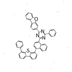 c1ccc(-c2nc(-c3ccc4c(c3)oc3ccccc34)nc(-c3ccc(-c4cccc5c4sc4c(-c6ccccc6)cccc45)c4ccccc34)n2)cc1